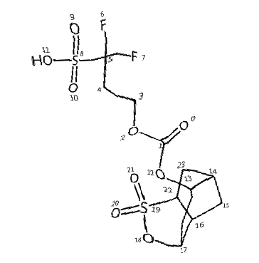 O=C(OCCC(F)(F)S(=O)(=O)O)OC1C2CC3C1OS(=O)(=O)C3C2